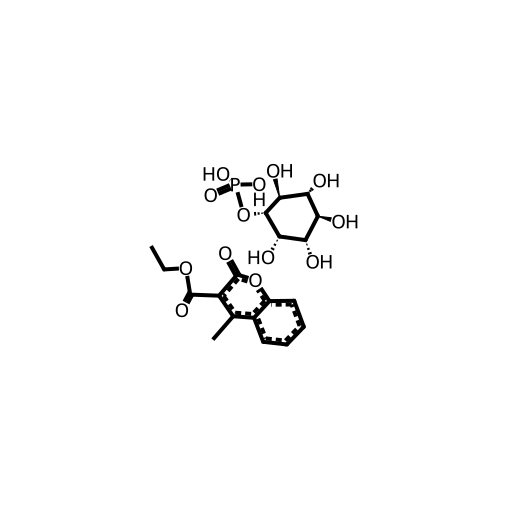 CCOC(=O)c1c(C)c2ccccc2oc1=O.O=P(O)(O)O[C@@H]1[C@@H](O)[C@H](O)[C@@H](O)[C@H](O)[C@@H]1O